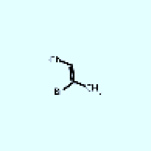 C[CH]C=C(C)Br